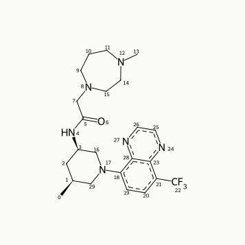 C[C@H]1C[C@@H](NC(=O)CN2CCCN(C)CC2)CN(c2ccc(C(F)(F)F)c3nccnc23)C1